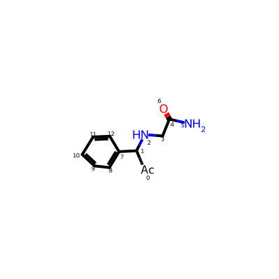 CC(=O)C(NCC(N)=O)c1ccccc1